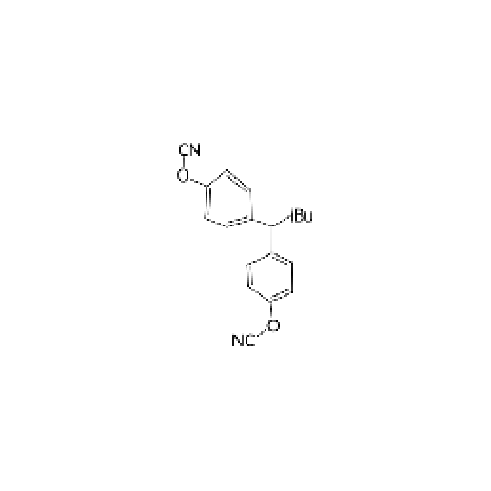 CCC(C)C(c1ccc(OC#N)cc1)c1ccc(OC#N)cc1